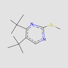 CSc1ncc(C(C)(C)C)c(C(C)(C)C)n1